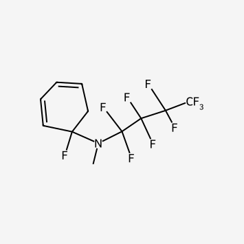 CN(C1(F)C=CC=CC1)C(F)(F)C(F)(F)C(F)(F)C(F)(F)F